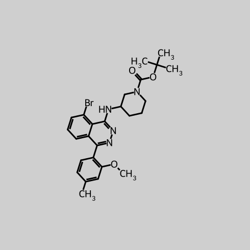 COc1cc(C)ccc1-c1nnc(NC2CCCN(C(=O)OC(C)(C)C)C2)c2c(Br)cccc12